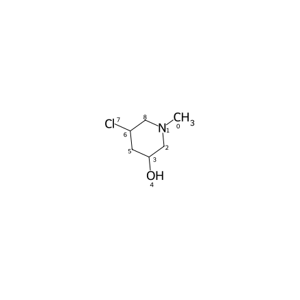 CN1CC(O)CC(Cl)C1